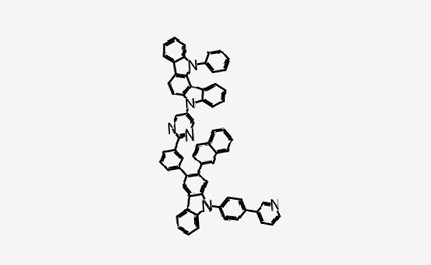 c1ccc(-n2c3ccccc3c3ccc4c(c5ccccc5n4-c4cnc(-c5cccc(-c6cc7c8ccccc8n(-c8ccc(-c9cccnc9)cc8)c7cc6-c6ccc7ccccc7c6)c5)nc4)c32)cc1